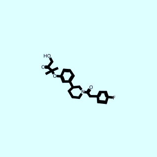 CC(C)(Oc1cccc(C2CCCN(C(=O)Cc3ccc(F)cc3)C2)c1)C(=O)CO